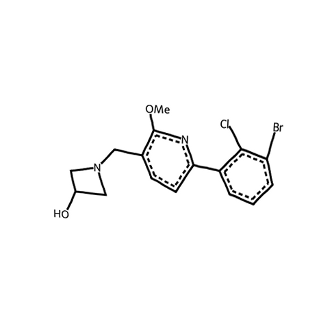 COc1nc(-c2cccc(Br)c2Cl)ccc1CN1CC(O)C1